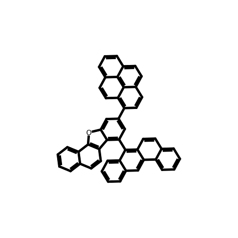 c1ccc2c(-c3cc(-c4ccc5ccc6cccc7ccc4c5c67)cc4oc5c6ccccc6ccc5c34)c3ccc4ccccc4c3cc2c1